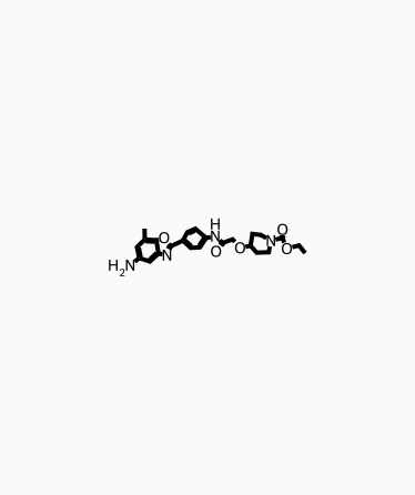 CCOC(=O)N1CCC(OCC(=O)Nc2ccc(-c3nc4cc(N)cc(C)c4o3)cc2)CC1